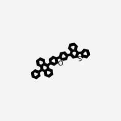 c1ccc(-c2c3ccccc3c(-c3ccc4c(c3)oc3cc(-c5cc6sc7ccccc7c6c6ccccc56)ccc34)c3ccccc23)cc1